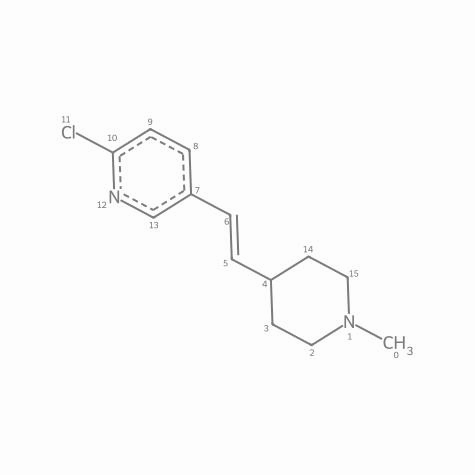 CN1CCC(C=Cc2ccc(Cl)nc2)CC1